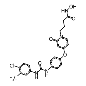 O=C(CCCn1ccc(Oc2ccc(NC(=O)Nc3ccc(Cl)c(C(F)(F)F)c3)cc2)cc1=O)NO